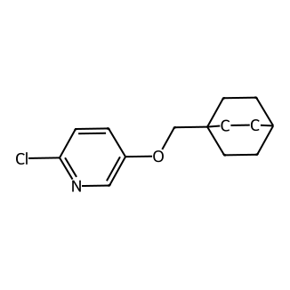 Clc1ccc(OCC23CCC(CC2)CC3)cn1